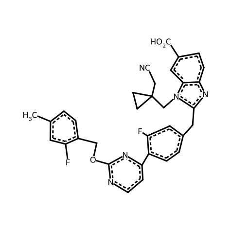 Cc1ccc(COc2nccc(-c3ccc(Cc4nc5ccc(C(=O)O)cc5n4CC4(CC#N)CC4)cc3F)n2)c(F)c1